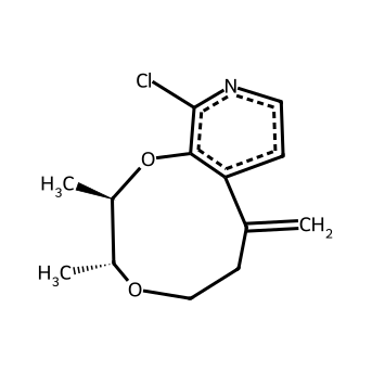 C=C1CCO[C@H](C)[C@@H](C)Oc2c1ccnc2Cl